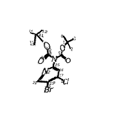 CC(C)(C)OC(=O)N(C(=O)OC(C)(C)C)c1cc(Cl)c(Br)cn1